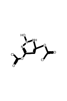 O=C(Cl)OC1=CC(OC(=O)Cl)=NN(O)N1